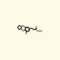 COC(=O)CCc1cc(F)c(OC2CCCC2)c(Br)c1